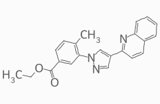 CCOC(=O)c1ccc(C)c(-n2cc(-c3ccc4ccccc4n3)cn2)c1